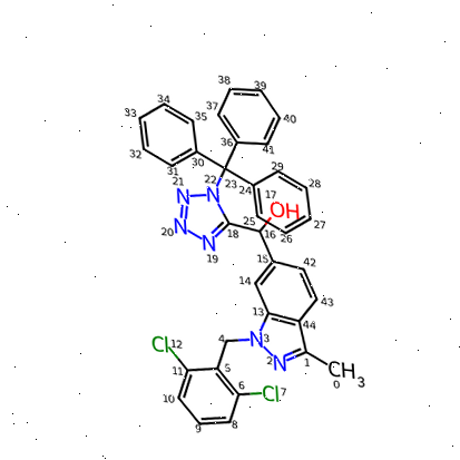 Cc1nn(Cc2c(Cl)cccc2Cl)c2cc(C(O)c3nnnn3C(c3ccccc3)(c3ccccc3)c3ccccc3)ccc12